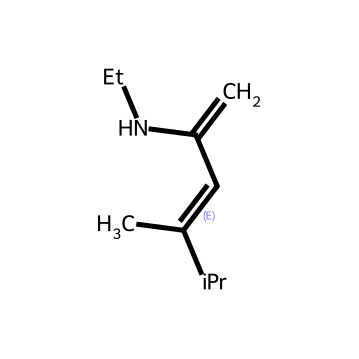 C=C(/C=C(\C)C(C)C)NCC